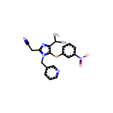 CC(C)c1nc(CC#N)n(Cc2cccnc2)c1Sc1cccc([N+](=O)[O-])c1